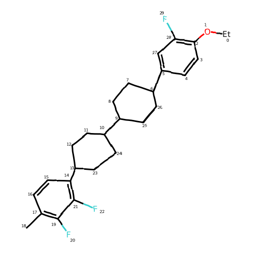 CCOc1ccc(C2CCC(C3CCC(c4ccc(C)c(F)c4F)CC3)CC2)cc1F